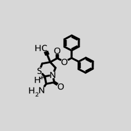 C#CC1(C(=O)OC(c2ccccc2)c2ccccc2)CS[C@@H]2C(N)C(=O)N2C1